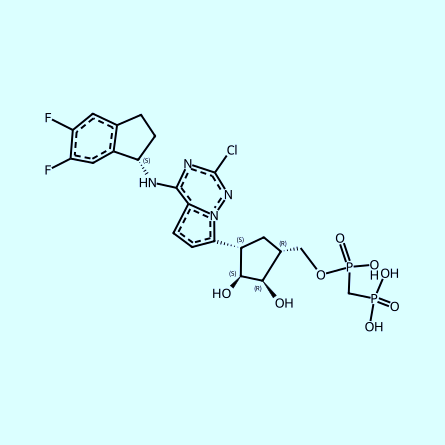 O=P(O)(O)CP(=O)(O)OC[C@H]1C[C@@H](c2ccc3c(N[C@H]4CCc5cc(F)c(F)cc54)nc(Cl)nn23)[C@H](O)[C@@H]1O